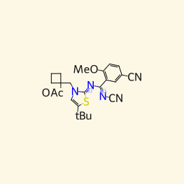 COc1ccc(C#N)cc1C(/N=c1\sc(C(C)(C)C)cn1CC1(OC(C)=O)CCC1)=N\C#N